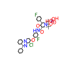 CC(C)(C)C(OP(=O)(O)O)(n1cc(C(=O)Nc2ccc(Oc3ccnc(N=C(c4ccccc4)c4ccccc4)c3Cl)c(F)c2)c(=O)c(-c2ccc(F)cc2)c1)C(C)(C)C